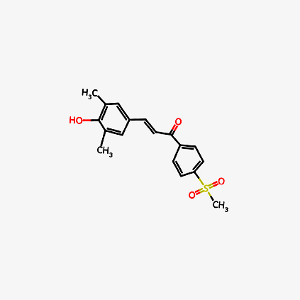 Cc1cc(C=CC(=O)c2ccc(S(C)(=O)=O)cc2)cc(C)c1O